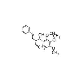 C=C[C@@H](CSc1ccccc1)[C@@H](O)c1ccc(OC)c(OC)c1OC